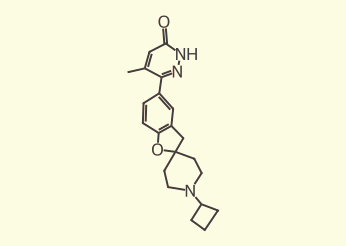 Cc1cc(=O)[nH]nc1-c1ccc2c(c1)CC1(CCN(C3CCC3)CC1)O2